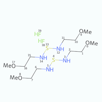 COCCNSNCCOC.COCCNSNCCOC.F.F